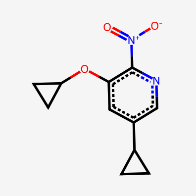 O=[N+]([O-])c1ncc(C2CC2)cc1OC1CC1